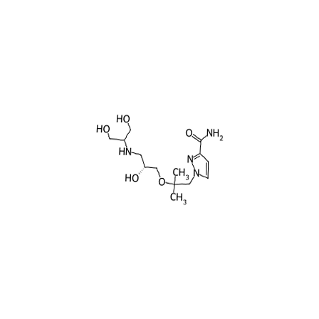 CC(C)(Cn1ccc(C(N)=O)n1)OC[C@H](O)CNC(CO)CO